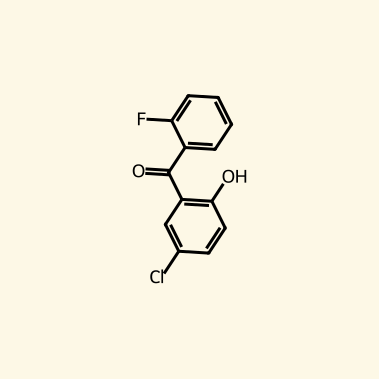 O=C(c1cc(Cl)ccc1O)c1ccccc1F